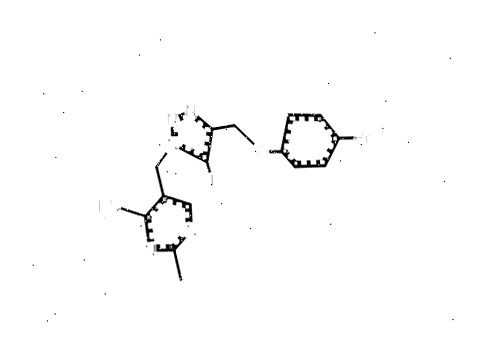 Cc1ncc(Cn2nnc(COc3ccc(Br)cc3)c2I)c(N)n1